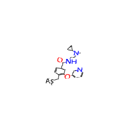 CN(CCNC(=O)c1ccc(C[As](C)C)c(Oc2cccnc2)c1)C1CC1